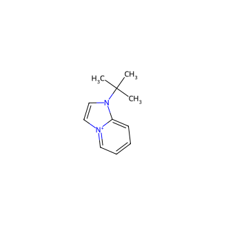 CC(C)(C)n1cc[n+]2ccccc12